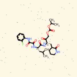 CC(C)C[C@H](NC(=O)C(=O)Nc1ccccc1F)C(=O)N[C@@H](CC1CCCNC1=O)C(=O)COC(=O)OC(C)C